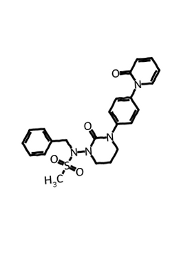 CS(=O)(=O)N(Cc1ccccc1)N1CCCN(c2ccc(-n3ccccc3=O)cc2)C1=O